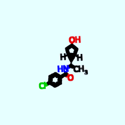 CC(NC(=O)c1ccc(Cl)cc1)[C@H]1[C@@H]2C[C@H](O)C[C@@H]21